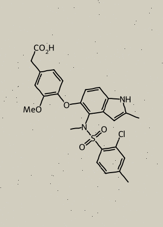 COc1cc(CC(=O)O)ccc1Oc1ccc2[nH]c(C)cc2c1N(C)S(=O)(=O)c1ccc(C)cc1Cl